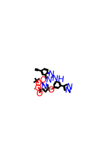 C#Cc1ccc2nc(Nc3cc(O[C@H]4C[C@@H](C(=O)OC)N(C(=O)OC(C)(C)C)C4)cc(-c4cnn(C)c4)c3)ncc2c1